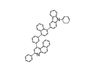 C1=CCCC(n2c3ccccc3c3cc(-c4ccc(-c5cccc(-c6cc(-c7ccccc7)nc7ccc8ccccc8c67)c5)c5ccccc45)ccc32)=C1